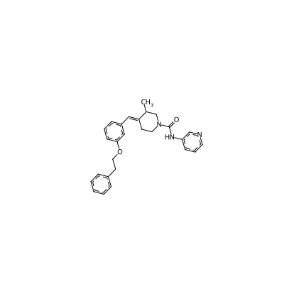 CC1CN(C(=O)Nc2cccnc2)CCC1=Cc1cccc(OCCc2ccccc2)c1